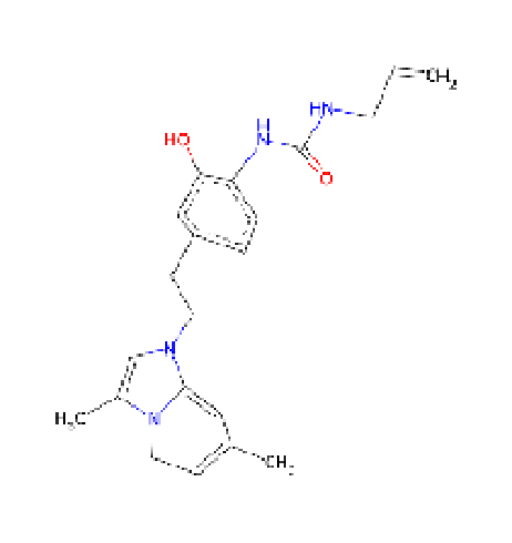 C=CCNC(=O)Nc1ccc(CCN2C=C(C)N3CC=C(C)C=C23)cc1O